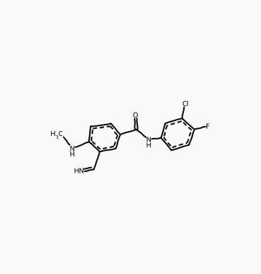 CNc1ccc(C(=O)Nc2ccc(F)c(Cl)c2)cc1C=N